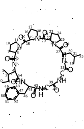 CCC(C)C1NC(=O)C2CCCN2C(=O)C2CCCN2C(=O)C2CCCN2C(=O)C(CC(C)C)NC(=O)CNC(=O)CNC(=O)C(Cc2ccccc2)NC1=O